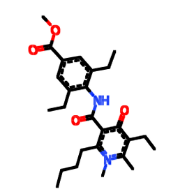 CCCCc1c(C(=O)Nc2c(CC)cc(C(=O)OC)cc2CC)c(=O)c(CC)c(C)n1C